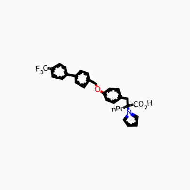 CCCC(Cc1ccc(OCc2ccc(-c3ccc(C(F)(F)F)cc3)cc2)cc1)(C(=O)O)n1cccc1